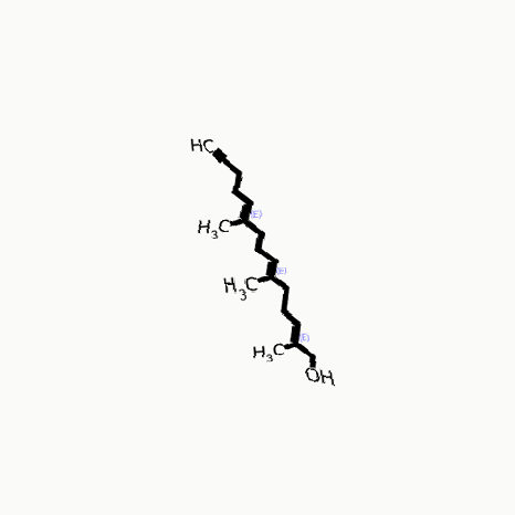 C#CCC/C=C(\C)CC/C=C(\C)CC/C=C(\C)CO